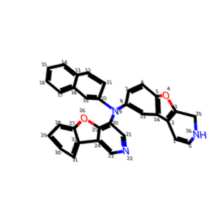 C1=Cc2c(oc3ccc(N(c4ccc5ccccc5c4)c4cncc5c4oc4ccccc45)cc23)CN1